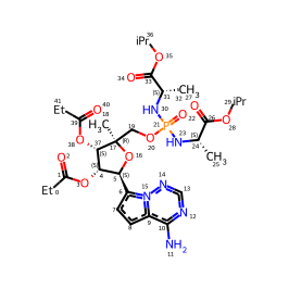 CCC(=O)O[C@H]1[C@H](c2ccc3c(N)ncnn23)O[C@](C)(COP(=O)(N[C@@H](C)C(=O)OC(C)C)N[C@@H](C)C(=O)OC(C)C)[C@H]1OC(=O)CC